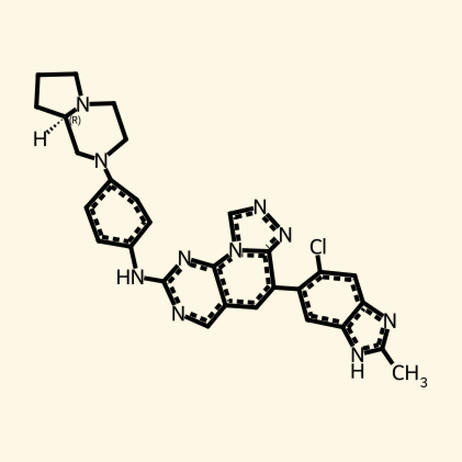 Cc1nc2cc(Cl)c(-c3cc4cnc(Nc5ccc(N6CCN7CCC[C@@H]7C6)cc5)nc4n4cnnc34)cc2[nH]1